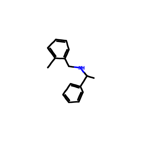 Cc1ccccc1CNC(C)c1ccccc1